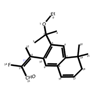 CCOC(C)(C)c1cc2c(cc1/C(C)=C(/F)C=O)C=CCC2(C)C